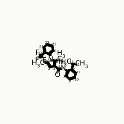 Cc1cc(C(=O)Nc2ccccc2C(C)C)c(C)n1-c1ccccc1C(F)(F)F